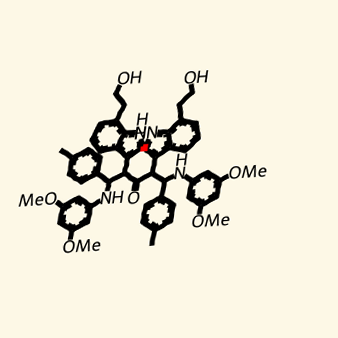 COc1cc(NC(c2ccc(C)cc2)C(C(=O)C(c2c[nH]c3c(CCO)cccc23)C(Nc2cc(OC)cc(OC)c2)c2ccc(C)cc2)c2c[nH]c3c(CCO)cccc23)cc(OC)c1